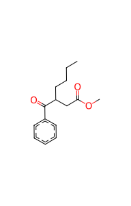 CCCCC(CC(=O)OC)C(=O)c1ccccc1